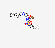 CCOC(=O)CN(C)c1ccc(Oc2ncc(S(=O)(=O)Nc3ccc(C(F)(F)F)cc3)cc2Br)cc1